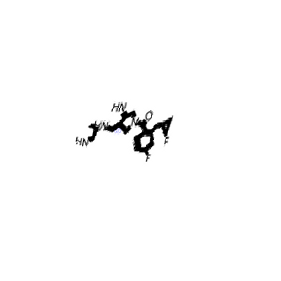 CC(C=N)N/C=C1/CN(C(=O)c2ccc(F)cc2CC2CC2F)CC1=N